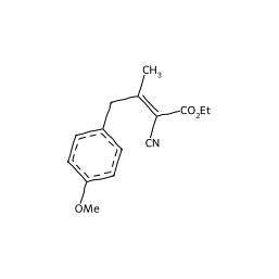 CCOC(=O)C(C#N)=C(C)Cc1ccc(OC)cc1